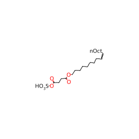 CCCCCCCC/C=C\CCCCCCCCOC(=O)CCC(=O)OS(=O)(=O)O